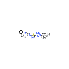 CC(C)(C)C(C(=O)O)n1nnc(-c2cnc(N3CC4CN(c5ccccc5C(F)(F)F)CC4C3)s2)n1